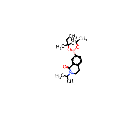 CCOB(OC(C)(C)CC)c1ccc2c(c1)C(=O)N(C(C)C)CC2